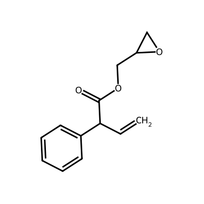 C=CC(C(=O)OCC1CO1)c1ccccc1